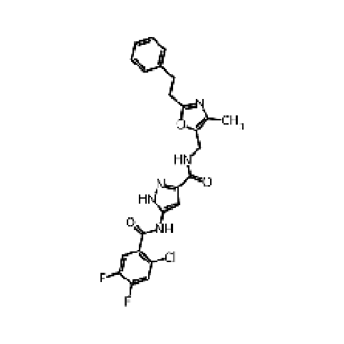 Cc1nc(CCc2ccccc2)oc1CNC(=O)c1cc(NC(=O)c2cc(F)c(F)cc2Cl)[nH]n1